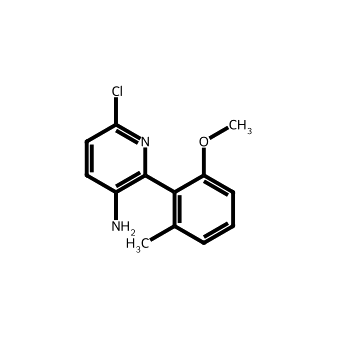 COc1cccc(C)c1-c1nc(Cl)ccc1N